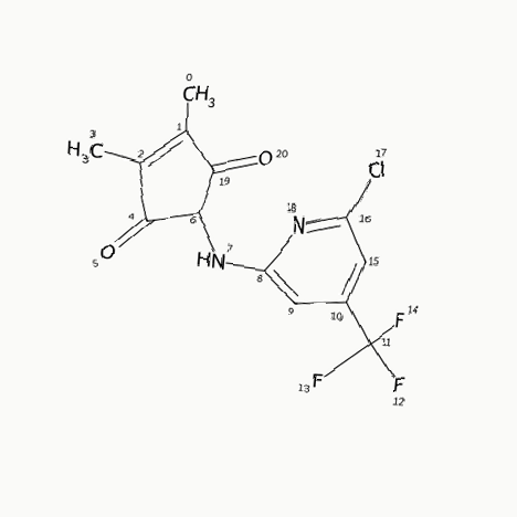 CC1=C(C)C(=O)C(Nc2cc(C(F)(F)F)cc(Cl)n2)C1=O